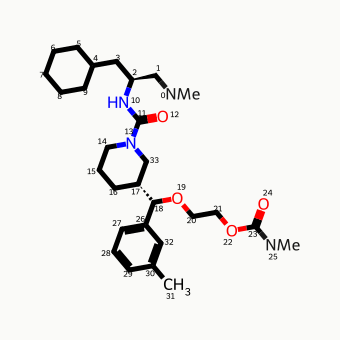 CNC[C@H](CC1CCCCC1)NC(=O)N1CCC[C@@H](C(OCCOC(=O)NC)c2cccc(C)c2)C1